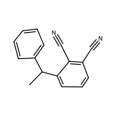 CC(c1ccccc1)c1cccc(C#N)c1C#N